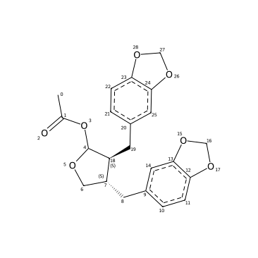 CC(=O)OC1OC[C@@H](Cc2ccc3c(c2)OCO3)[C@@H]1Cc1ccc2c(c1)OCO2